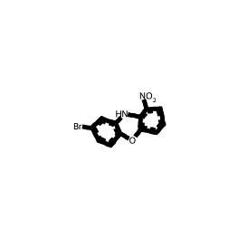 O=[N+]([O-])c1cccc2c1Nc1cc(Br)ccc1O2